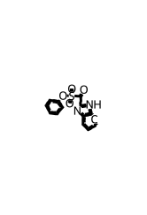 O=C(c1nc2ccccc2[nH]1)S(=O)(=O)Oc1ccccc1